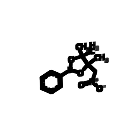 CC1(C)OB(c2ccccc2)OC1(C)C[N+](=O)[O-]